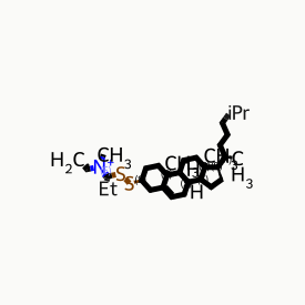 C=C/[N+](C)=C(\CC)SS[C@H]1CC[C@@]2(C)C(=CC[C@@H]3C2CC[C@]2(C)[C@@H]([C@H](C)CCCC(C)C)CC[C@@H]32)C1